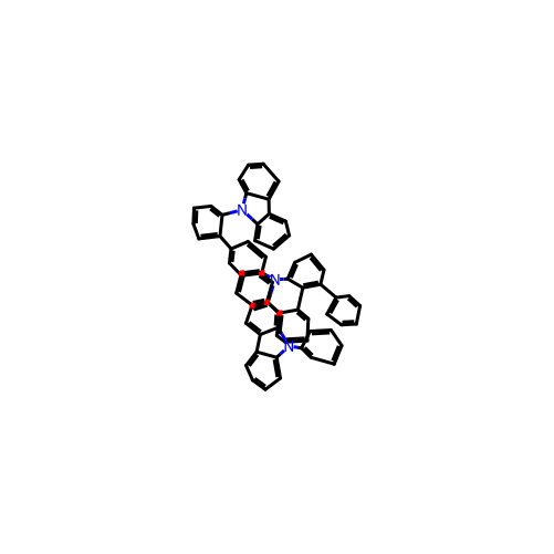 c1ccc(-c2ccccc2-c2c(-c3ccccc3)cccc2N(c2ccc(-c3ccccc3-n3c4ccccc4c4ccccc43)cc2)c2ccc3c4ccccc4n(-c4ccccc4)c3c2)cc1